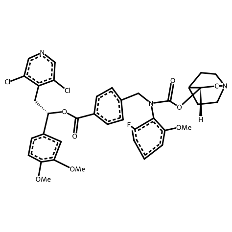 COc1ccc([C@H](Cc2c(Cl)cncc2Cl)OC(=O)c2ccc(CN(C(=O)O[C@H]3CN4CCC3CC4)c3c(F)cccc3OC)cc2)cc1OC